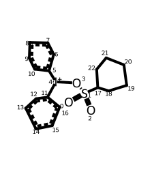 O=S(=O)(O[I+](c1ccccc1)c1ccccc1)C1CCCCC1